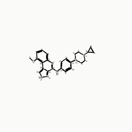 COc1cccc2nc(Nc3ccc(N4CCN(C5CC5)CC4)cc3)c3n[nH]cc3c12